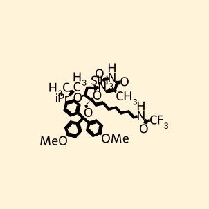 COc1ccc(C(OC[C@@]2(C=CCCCCCNC(=O)C(F)(F)F)O[C@@]([SiH3])(n3cc(C)c(=O)[nH]c3=O)C[C@@H]2OC(C)(C)C(C)C)(c2ccccc2)c2ccc(OC)cc2)cc1